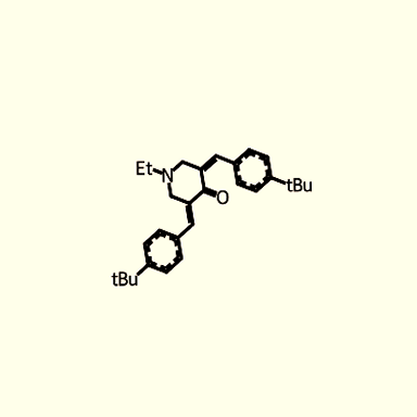 CCN1C/C(=C/c2ccc(C(C)(C)C)cc2)C(=O)/C(=C/c2ccc(C(C)(C)C)cc2)C1